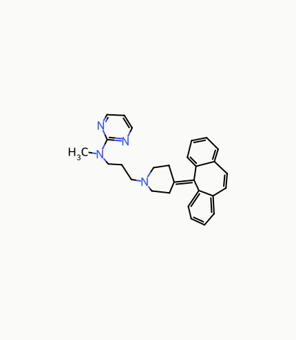 CN(CCCN1CCC(=C2c3ccccc3C=Cc3ccccc32)CC1)c1ncccn1